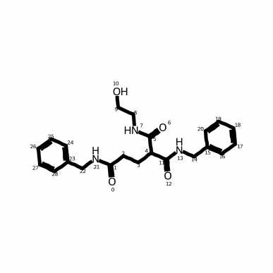 O=C(CCC(C(=O)NCCO)C(=O)NCc1ccccc1)NCc1ccccc1